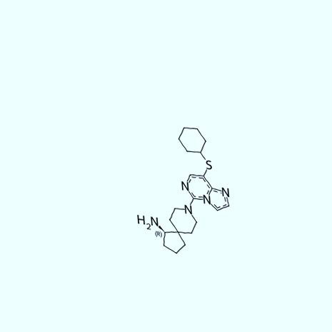 N[C@@H]1CCCC12CCN(c1ncc(SC3CCCCC3)c3nccn13)CC2